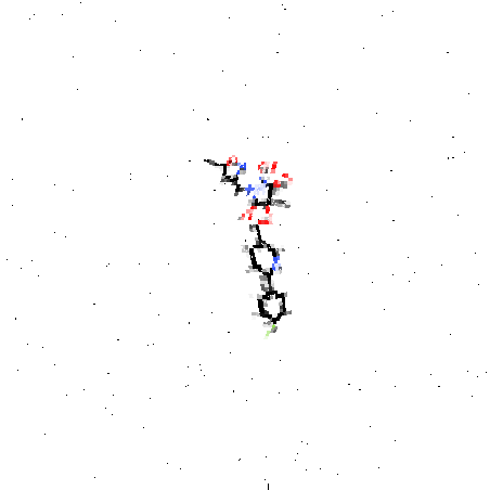 Cc1cc(CNC(=O)C(C)(OCc2ccc(-c3ccc(F)cc3)nc2)C(=O)NO)no1